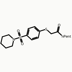 CCCCCC(=O)CSc1ccc(S(=O)(=O)N2CCCCC2)cc1